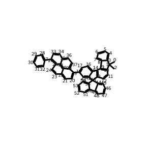 CC1(C)c2ccccc2-c2c1ccc1c2-c2ccc(-c3ccc4ccc5c(-c6ccccc6)ccc6ccc3c4c65)cc2C12c1ccccc1-c1ccccc12